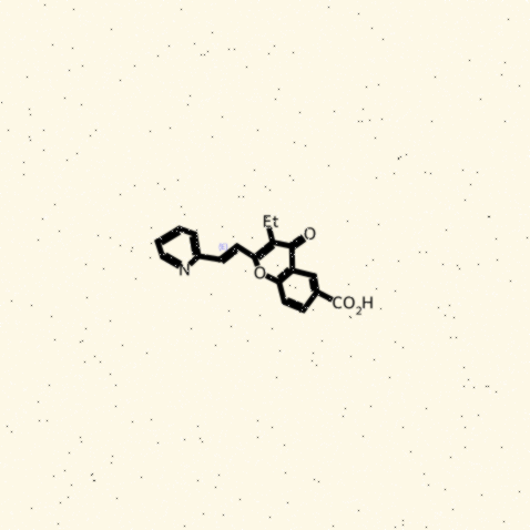 CCc1c(/C=C/c2ccccn2)oc2ccc(C(=O)O)cc2c1=O